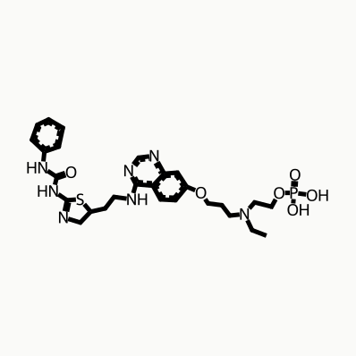 CCN(CCCOc1ccc2c(NCCC3CN=C(NC(=O)Nc4ccccc4)S3)ncnc2c1)CCOP(=O)(O)O